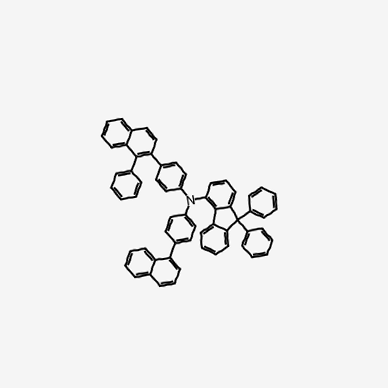 c1ccc(-c2c(-c3ccc(N(c4ccc(-c5cccc6ccccc56)cc4)c4cccc5c4-c4ccccc4C5(c4ccccc4)c4ccccc4)cc3)ccc3ccccc23)cc1